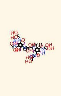 Cc1c(C(=O)NC(CO)CO)c(I)c(C(=O)NCC(O)CO)c(I)c1N(C=O)CC(O)C(O)CN(C=O)c1c(I)c(C(=O)NCC(O)CO)c(I)c(C(=O)NC(CO)CO)c1I